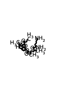 CCCC(=O)C1Oc2c(OC(=O)N(C)CCN(C)C(=O)[C@@H](N)CCCCN)ccc3c2[C@]12C[C@@H](C3)N(C)C2